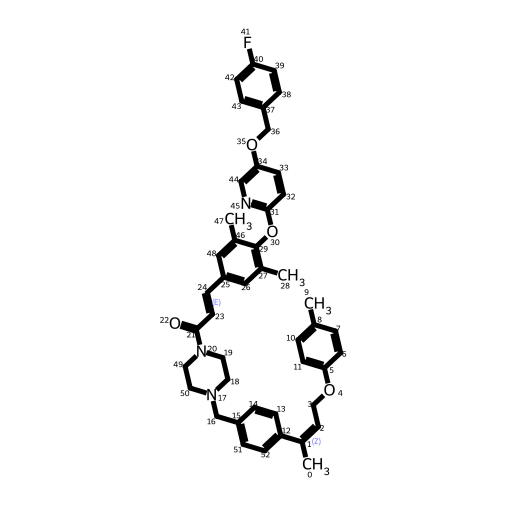 C/C(=C/COc1ccc(C)cc1)c1ccc(CN2CCN(C(=O)/C=C/c3cc(C)c(Oc4ccc(OCc5ccc(F)cc5)cn4)c(C)c3)CC2)cc1